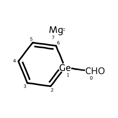 O=[CH][Ge]1=[CH]C=CC=[CH]1.[Mg]